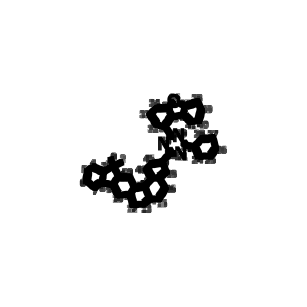 CC1(C)c2ccccc2-c2cc3ccc4ccc5cc(-c6nc(-c7ccccc7)nc(-c7cccc8oc9ccccc9c78)n6)ccc5c4c3cc21